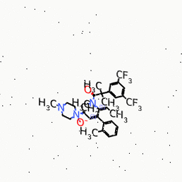 C=C(/C=C(\C(=C/C)N(C)C(=O)C(C)(C)c1cc(C(F)(F)F)cc(C(F)(F)F)c1)c1ccccc1C)[N+]1([O-])CCN(C)CC1